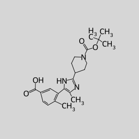 Cc1ccc(C(=O)O)cc1-c1[nH]c(C2CCN(C(=O)OC(C)(C)C)CC2)nc1C